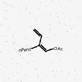 C=CC(=COC(C)=O)CCCCC